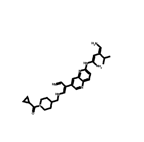 CC(C)C(=C/N)/C=C(\N)Nc1ccc2ncc(/C(C=N)=C/NCC3CCN(C(=O)C4CC4)CC3)cc2n1